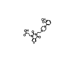 COc1ccccc1N1CCN(CCn2c(=O)c3cscc3n(CCC(=O)O)c2=O)CC1